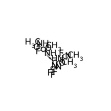 CNC(=O)c1cc(OC)c(NCC#Cc2cc(C(=O)N[C@@H]3[C@@H](C)CN(C)C[C@@H]3F)c3ncc(SC(F)(F)F)n3c2)cc1F